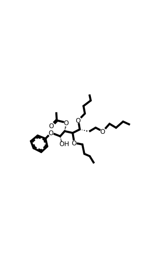 CCCCOCC[C@@H](OCCCC)C(OCCCC)[C@@H](OC(C)=O)[C@H](O)Oc1ccccc1